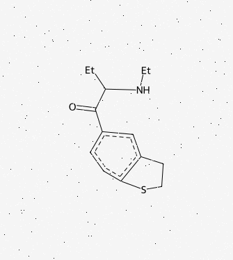 CCNC(CC)C(=O)c1ccc2c(c1)CCS2